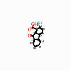 O=C(O)c1c(F)ccc2c1C(=O)c1ccccc1-2